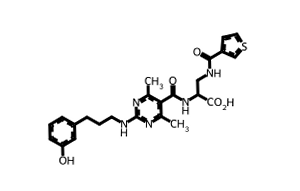 Cc1nc(NCCCc2cccc(O)c2)nc(C)c1C(=O)NC(CNC(=O)c1ccsc1)C(=O)O